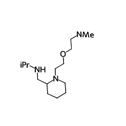 CNCCOCCN1CCCCC1CNC(C)C